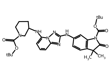 CC(C)(C)OC(=O)N1CCCC(Nc2cccc3nc(Nc4ccc5c(c4)N(C(=O)OC(C)(C)C)C(=O)C5(C)C)nn23)C1